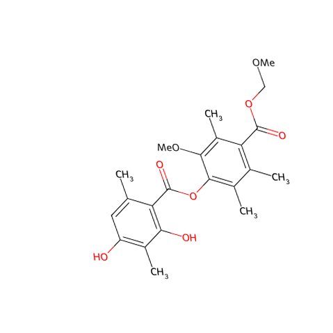 COCOC(=O)c1c(C)c(C)c(OC(=O)c2c(C)cc(O)c(C)c2O)c(OC)c1C